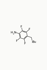 CCC(C)Cc1c(F)c(F)c(N)c(F)c1F